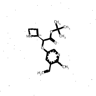 C=Cc1cc(OC(C(=O)OC(C)(C)C)[C@@H]2CCN2)cnc1C